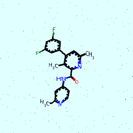 Cc1cc(NC(=O)c2nc(C)cc(-c3cc(F)cc(F)c3)c2C)ccn1